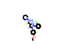 CCOc1ccc([C@@H]2[C@H](C)C(C(=S)NN3CCCCC3)=NN2c2ccccc2Cl)cc1